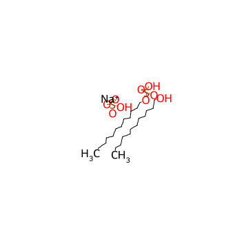 CCCCCCCCCCCCO.CCCCCCCCCCCCOS(=O)(=O)O.O=S(=O)([O-])O.[Na+]